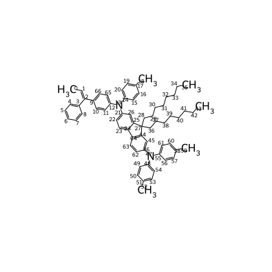 CC=C(c1ccccc1)c1ccc(N(c2ccc(C)cc2)c2ccc3c(c2)C(CCCCCCCC)(CCCCCCCC)c2cc(N(c4ccc(C)cc4)c4ccc(C)cc4)ccc2-3)cc1